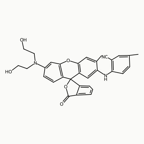 Cc1ccc(Nc2cc3c(cc2C)Oc2cc(N(CCO)CCO)ccc2C32OC(=O)c3ccccc32)c(C#N)c1